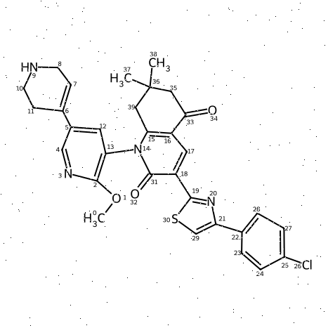 COc1ncc(C2=CCNCC2)cc1-n1c2c(cc(-c3nc(-c4ccc(Cl)cc4)cs3)c1=O)C(=O)CC(C)(C)C2